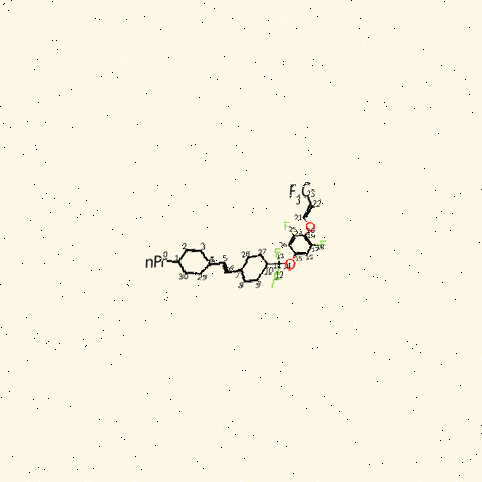 CCCC1CCC(/C=C/C2CCC(C(F)(F)Oc3cc(F)c(O/C=C/C(F)(F)F)c(F)c3)CC2)CC1